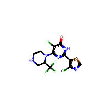 O=c1[nH]c(-c2scnc2Cl)nc(N2CCNCC2C(F)(F)F)c1Cl